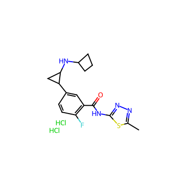 Cc1nnc(NC(=O)c2cc(C3CC3NC3CCC3)ccc2F)s1.Cl.Cl